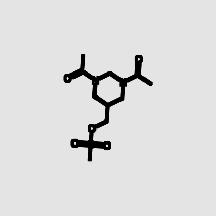 CC(=O)N1CC(COS(C)(=O)=O)CN(C(C)=O)C1